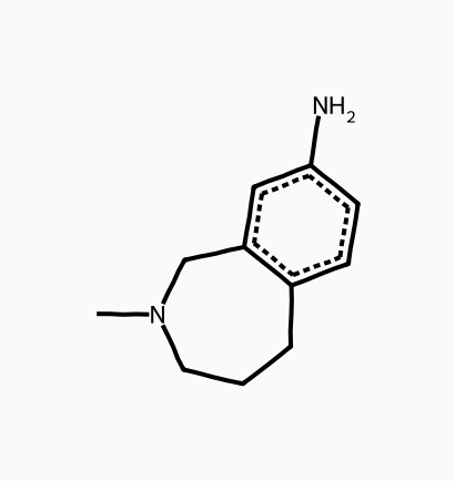 CN1CCCc2ccc(N)cc2C1